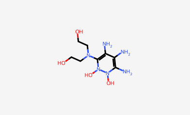 NC1=C(N)N(O)N(O)C(N(CCO)CCO)=C1N